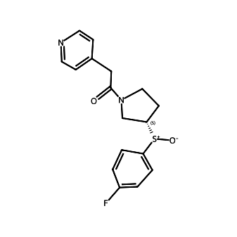 O=C(Cc1ccncc1)N1CC[C@H]([S+]([O-])c2ccc(F)cc2)C1